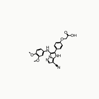 COc1ccc(Nc2c(-c3ccc(OCC(=O)O)cc3)[nH]c3c(C#N)cnn23)cc1OC